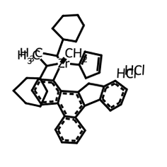 Cl.Cl.[CH2]=[Zr]([C]1=CC=CC1)([c]1cccc2c1c1c(c3ccccc32)-c2ccccc2C1)([CH](C)C1CCCCC1)[CH](C)C1CCCCC1